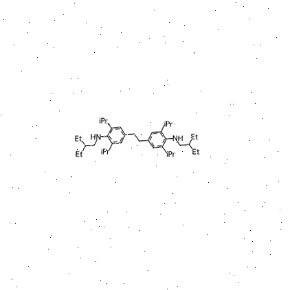 CCC(CC)CNc1c(C(C)C)cc(CCc2cc(C(C)C)c(NCC(CC)CC)c(C(C)C)c2)cc1C(C)C